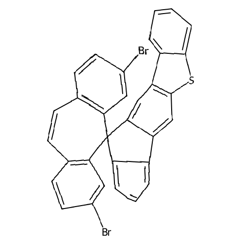 Brc1ccc2c(c1)C1(c3cc(Br)ccc3C=C2)c2ccccc2-c2cc3sc4ccccc4c3cc21